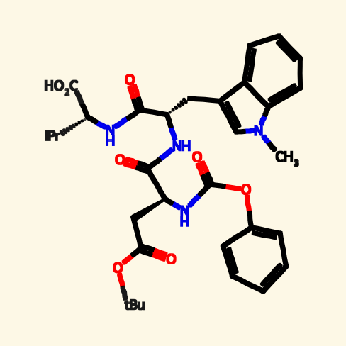 CC(C)[C@@H](NC(=O)[C@H](Cc1cn(C)c2ccccc12)NC(=O)[C@H](CC(=O)OC(C)(C)C)NC(=O)Oc1ccccc1)C(=O)O